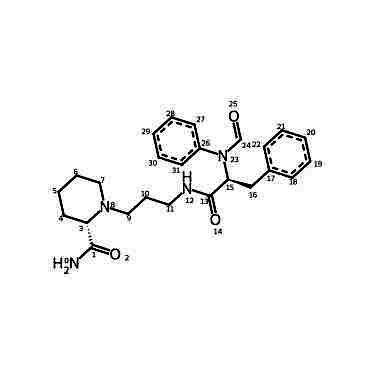 NC(=O)[C@@H]1CCCCN1CCCNC(=O)[C@H](Cc1ccccc1)N(C=O)c1ccccc1